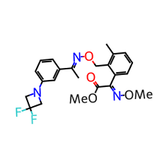 CO/N=C(/C(=O)OC)c1cccc(C)c1CO/N=C(\C)c1cccc(N2CC(F)(F)C2)c1